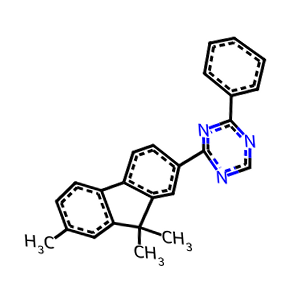 Cc1ccc2c(c1)C(C)(C)c1cc(-c3ncnc(-c4ccccc4)n3)ccc1-2